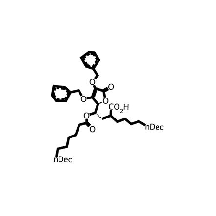 CCCCCCCCCCCCCCCC(=O)O[C@@H](CC(CCCCCCCCCCCCCC)C(=O)O)[C@H]1OC(=O)C(OCc2ccccc2)=C1OCc1ccccc1